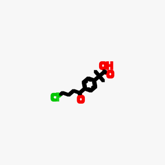 CC(C)(C(=O)O)c1ccc(C(=O)CCCCl)cc1